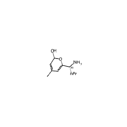 CCC[C@@H](N)C1=CC(C)=CC(O)O1